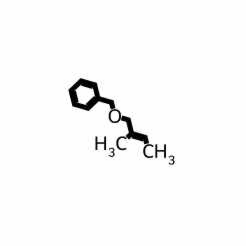 C/C=C(\C)COCc1ccccc1